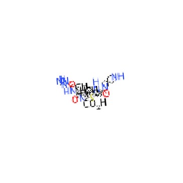 CC(NC(=O)Cn1cnnn1)[C@H]1C(=O)N2C(C(=O)O)=C(S[C@@H]3CN[C@H](C(=O)N4CCC5(CCNCC5)C4)C3)[C@H](C)[C@H]12